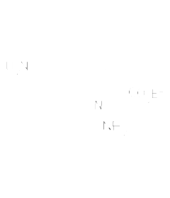 CCOC(=O)c1cc2cc(N)ccc2n1N